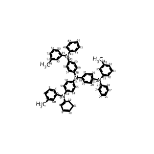 Cc1cccc(N(C2=CC=CCC2)c2ccc(N(c3ccc(N(c4ccccc4)c4cccc(C)c4)cc3)c3ccc(N(c4ccccc4)c4cccc(C)c4)cc3)cc2)c1